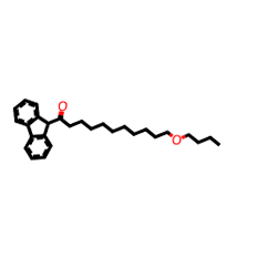 CCCCOCCCCCCCCCCC(=O)C1c2ccccc2-c2ccccc21